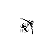 CC1(C(=O)O)C=CC=C(C(=O)O)C1.CCCCCCCCOC(=O)c1ccccc1C(=O)OCCCCCCCC